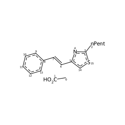 CC(=O)O.CCCCCc1nc(C=Cc2ccccc2)cs1